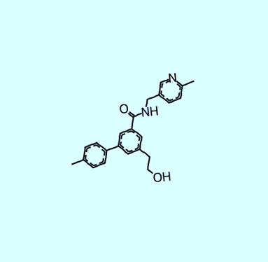 Cc1ccc(-c2cc(CCO)cc(C(=O)NCc3ccc(C)nc3)c2)cc1